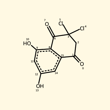 O=C1CC(Cl)(Cl)C(=O)c2c(O)cc(O)cc21